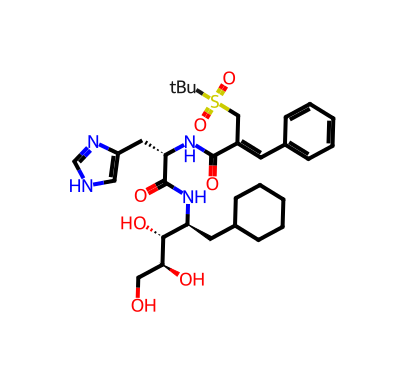 CC(C)(C)S(=O)(=O)CC(=Cc1ccccc1)C(=O)N[C@@H](Cc1c[nH]cn1)C(=O)N[C@@H](CC1CCCCC1)[C@@H](O)[C@@H](O)CO